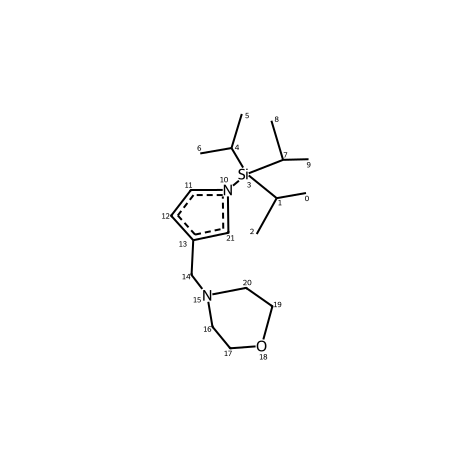 CC(C)[Si](C(C)C)(C(C)C)n1ccc(CN2CCOCC2)c1